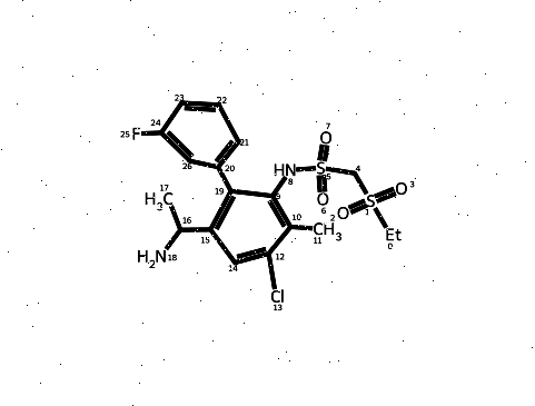 CCS(=O)(=O)CS(=O)(=O)Nc1c(C)c(Cl)cc(C(C)N)c1-c1cccc(F)c1